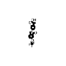 CC(C(=O)O)c1ccc(N2Cc3ccc(OCC(F)(F)F)cc3C2=O)cc1